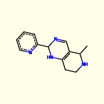 CC1NCCC2=C1C=NC(c1ccccn1)N2